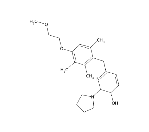 COCCOc1cc(C)c(CC2=NC(N3CCCC3)C(O)C=C2)c(C)c1C